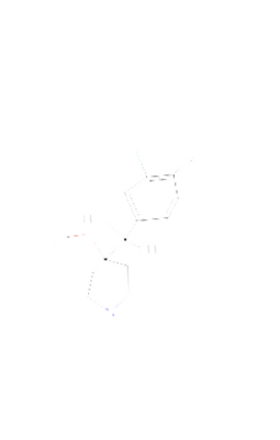 COC1(C(C)(C)c2ccc(Br)c(F)c2)CCNCC1